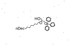 CCCCCCCCCCCCCCCCCCOC(CO)COC(c1ccccc1)(c1ccccc1)c1ccccc1